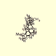 [2H]c1c(OC([2H])([2H])[2H])c(OC)c([2H])c2c1C([2H])([2H])C([2H])([2H])N1CC([2H])(C([2H])([2H])C([2H])(C([2H])([2H])[2H])C([2H])([2H])C)C(=O)C([2H])([2H])C21[2H]